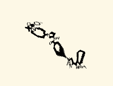 CC(C)(C)[N+]1(C(=O)[O-])CCCC(n2ccc(NC(=O)c3ccc(-n4cc(-c5n[nH]c6ccccc56)nn4)cc3)c2)CC1